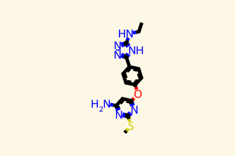 CCNc1nnc(-c2ccc(Oc3cc(N)nc(SC)n3)cc2)[nH]1